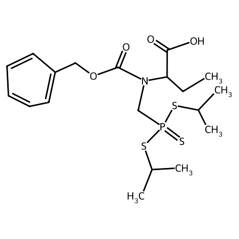 CCC(C(=O)O)N(CP(=S)(SC(C)C)SC(C)C)C(=O)OCc1ccccc1